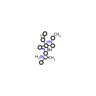 C=C1C=C(c2ccccc2)N(C)c2cc3c(cc21)Bc1c(-c2ccccc2Nc2ccc(C)cc2)cc(-c2ccc4sc5ccccc5c4c2)c2c4ccccc4n-3c12